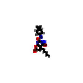 CCCCCc1cc(=O)oc2nc(ON=C3CCC4(CC3)CC4)[nH]c(=O)c12